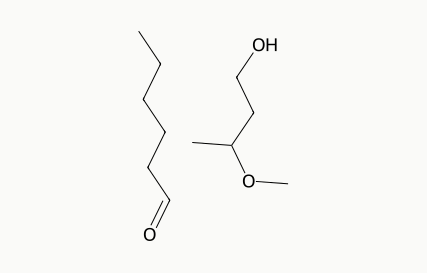 CCCCCC=O.COC(C)CCO